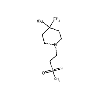 CC(C)(C)C1(C)CCN(CCS(C)(=O)=O)CC1